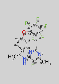 Cc1ncnc(NC(C)c2ccc(Oc3c(F)c(F)c(F)c(F)c3F)cc2)c1F